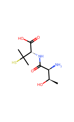 C[C@@H](O)[C@H](N)C(=O)N[C@@H](C(=O)O)C(C)(C)S